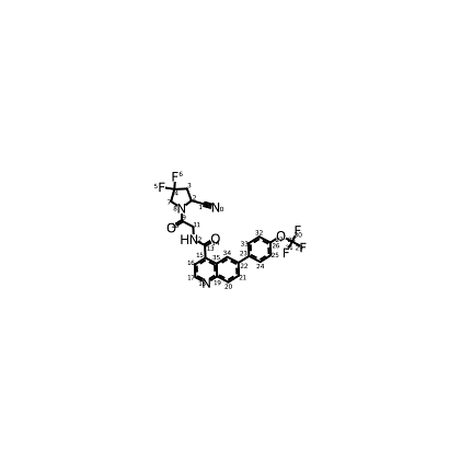 N#CC1CC(F)(F)CN1C(=O)CNC(=O)c1ccnc2ccc(-c3ccc(OC(F)(F)F)cc3)cc12